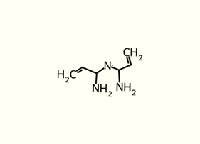 C=CC(N)[N]C(N)C=C